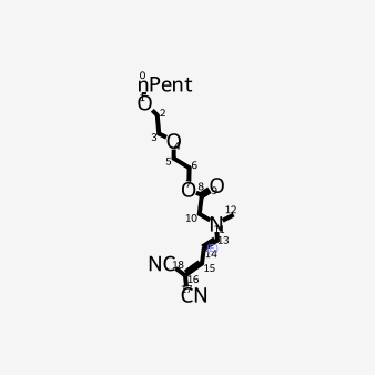 CCCCCOCCOCCOC(=O)CN(C)/C=C/C=C(C#N)C#N